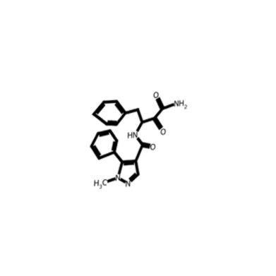 Cn1ncc(C(=O)NC(Cc2ccccc2)C(=O)C(N)=O)c1-c1ccccc1